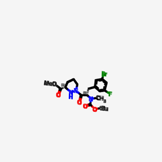 COC(=O)[C@@H]1CCCN(C(=O)[C@H](Cc2cc(F)cc(Br)c2)N(C)C(=O)OC(C)(C)C)N1